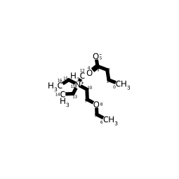 CCCC(=O)[O-].CCOCC[N+](C)(CC)CC